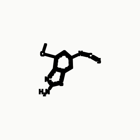 COc1cc(N=C=S)cc2sc(N)nc12